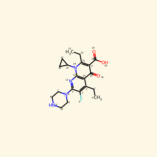 CCc1c(F)c(N2CCNCC2)nc2c1c(=O)c(C(=O)O)c(CC)n2C1CC1